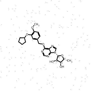 COc1ccc(COc2ncnc3c2ncn3[C@@H]2O[C@H](C)[C@@H](O)[C@H]2O)cc1OC1CCCC1